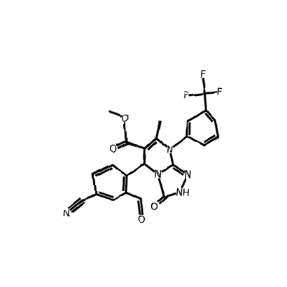 COC(=O)C1=C(C)N(c2cccc(C(F)(F)F)c2)c2n[nH]c(=O)n2C1c1ccc(C#N)cc1C=O